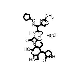 Cl.Cl.Nc1nc(C(=NOC2CCCC2)C(=O)N[C@@H]2C(=O)N3C(C(=O)O)=C(C(=C4CCNC4=O)C4CNC4)CS[C@H]23)cs1